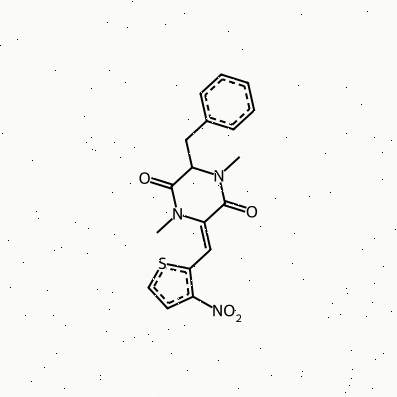 CN1C(=O)C(Cc2ccccc2)N(C)C(=O)C1=Cc1sccc1[N+](=O)[O-]